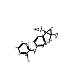 O=C(O)C1(c2ccc(Oc3ncccc3F)cc2)CC1(Cl)Cl